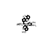 C[C@H]1CN(c2c(NC(=O)c3ccc(F)c(-c4c(F)cccc4F)c3F)cnc3c2CCC3O)C[C@@H](N)[C@@H]1O.Cl.Cl